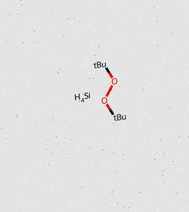 CC(C)(C)OOC(C)(C)C.[SiH4]